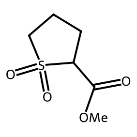 COC(=O)C1CCCS1(=O)=O